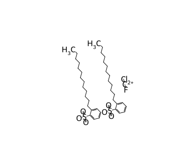 CCCCCCCCCCCCCc1ccccc1S(=O)(=O)[O-].CCCCCCCCCCCCCc1ccccc1S(=O)(=O)[O-].F[C+2]Cl